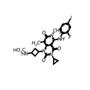 Cc1c(=O)n(C)c(Nc2ccc(I)cc2F)c2c(=O)n(C3CC3)c(=O)n(C3CC(NC(=O)O)C3)c12